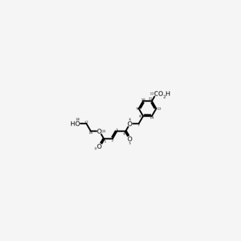 O=C(C=CC(=O)OCc1ccc(C(=O)O)cc1)OCCO